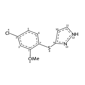 COc1cc(Cl)ccc1Sc1cc[nH]n1